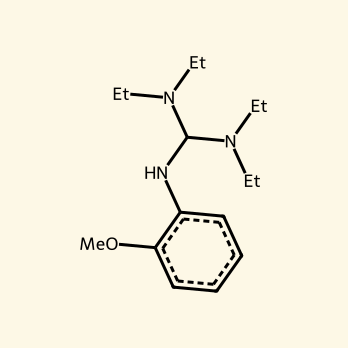 CCN(CC)C(Nc1ccccc1OC)N(CC)CC